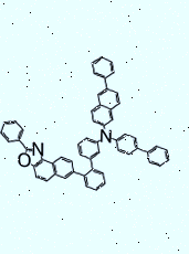 c1ccc(-c2ccc(N(c3cccc(-c4ccccc4-c4ccc5c(ccc6oc(-c7ccccc7)nc65)c4)c3)c3ccc4cc(-c5ccccc5)ccc4c3)cc2)cc1